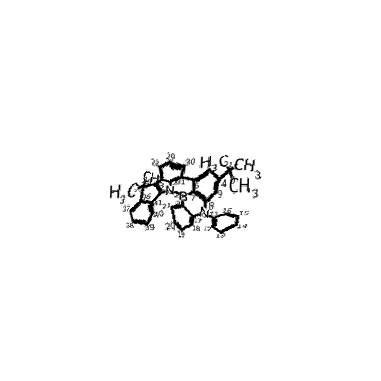 CC(C)(C)c1cc2c3c(c1)N(c1ccccc1)c1ccccc1B3n1c3c(c4cccc-2c41)C(C)(C)c1ccccc1-3